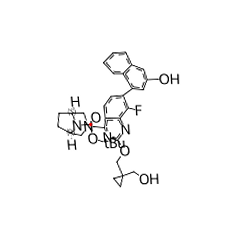 CC(C)(C)OC(=O)N1[C@@H]2CC[C@H]1CN(c1nc(OCC3(CO)CC3)nc3c(F)c(-c4cc(O)cc5ccccc45)ccc13)C2